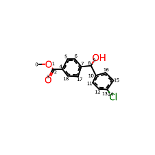 COC(=O)c1ccc(C(O)c2ccc(Cl)cc2)cc1